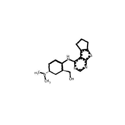 CN(C)[C@@H]1CCC(Nc2ncnc3sc4c(c23)CCC4)[C@@H](CO)C1